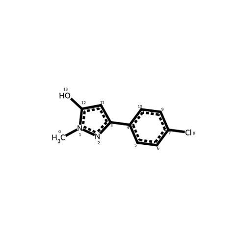 Cn1nc(-c2ccc(Cl)cc2)cc1O